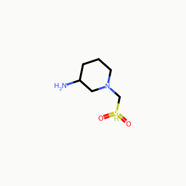 NC1CCCN(C[SH](=O)=O)C1